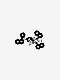 C1=C(C2NC(c3cccc4ccccc34)NC(c3cccc4ccccc34)N2)NCC(n2c3ccccc3c3c4ccccc4ccc32)=C1